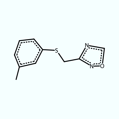 Cc1cccc(SCc2ncon2)c1